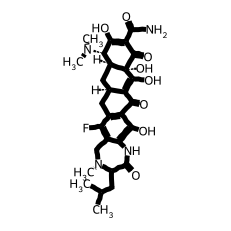 CC(C)CC1C(=O)Nc2c(O)c3c(c(F)c2CN1C)C[C@H]1C[C@H]2[C@H](N(C)C)C(O)=C(C(N)=O)C(=O)[C@@]2(O)C(O)=C1C3=O